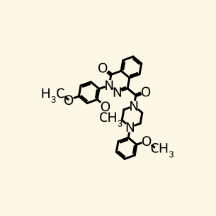 COc1ccc(-n2nc(C(=O)N3CCN(c4ccccc4OC)CC3)c3ccccc3c2=O)c(OC)c1